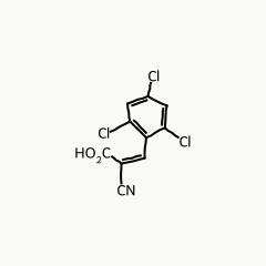 N#CC(=Cc1c(Cl)cc(Cl)cc1Cl)C(=O)O